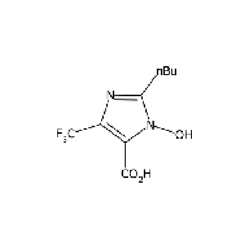 CCCCc1nc(C(F)(F)F)c(C(=O)O)n1O